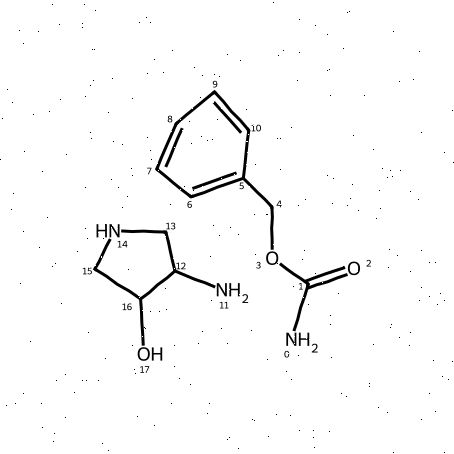 NC(=O)OCc1ccccc1.NC1CNCC1O